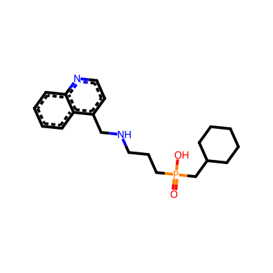 O=P(O)(CCCNCc1ccnc2ccccc12)CC1CCCCC1